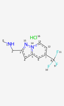 CNCc1cc2cc(C(F)(F)F)ccn2n1.Cl